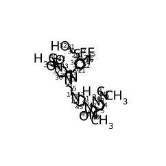 CN(C)c1ccc2c(n1)n(C1CCN(CCCn3nc(-c4ccc(C(F)(F)F)c(SCCO)c4)c4c3CCN(S(C)(=O)=O)C4)CC1)c(=O)n2C